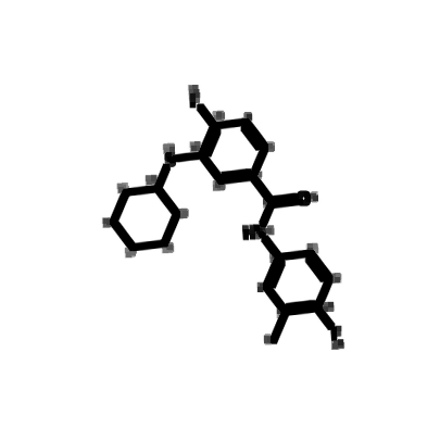 Cc1cc(NC(=O)c2ccc(F)c(SC3CCCCC3)c2)ccc1F